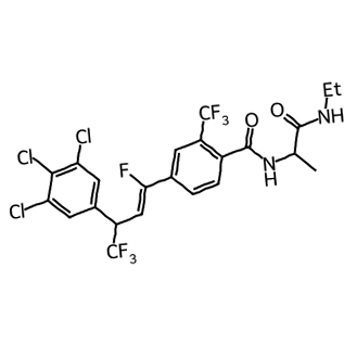 CCNC(=O)C(C)NC(=O)c1ccc(/C(F)=C/C(c2cc(Cl)c(Cl)c(Cl)c2)C(F)(F)F)cc1C(F)(F)F